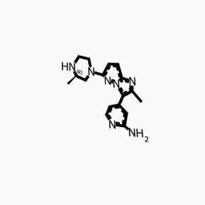 Cc1nc2ccc(N3CCN[C@H](C)C3)nn2c1-c1ccnc(N)c1